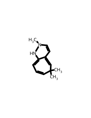 CN1C=CC2=CC(C)(C)C=CC=C2N1